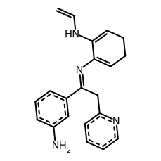 C=CNC1=CCCC=C1/N=C(\Cc1ccccn1)c1cccc(N)c1